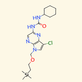 C[Si](C)(C)CCOCn1cc(Cl)c2nc(NC(=O)NC3CCCCC3)cnc21